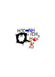 CNC.O=[SH](=O)c1ccccc1